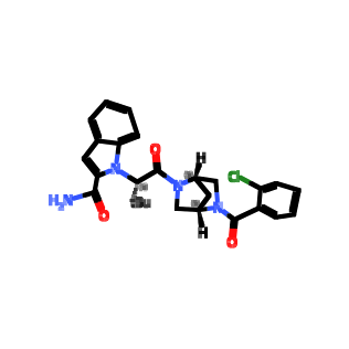 CC(C)(C)[C@@H](C(=O)N1C[C@@H]2C[C@H]1CN2C(=O)c1ccccc1Cl)n1c(C(N)=O)cc2ccccc21